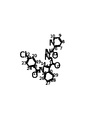 O=C(c1nnc(-c2ccccn2)o1)c1cn(C(=O)c2ccc(Cl)cc2)c2ccccc12